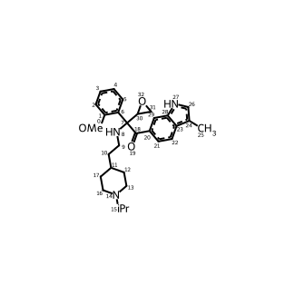 COc1ccccc1C(NCCC1CCN(C(C)C)CC1)(C(=O)c1ccc2c(C)c[nH]c2c1)C1CO1